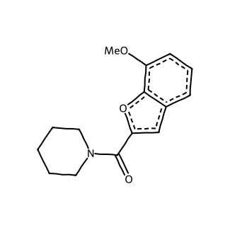 COc1cccc2cc(C(=O)N3CCCCC3)oc12